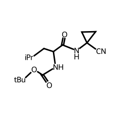 CC(C)CC(NC(=O)OC(C)(C)C)C(=O)NC1(C#N)CC1